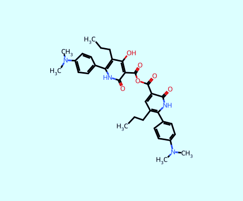 CCCc1cc(C(=O)OC(=O)c2c(O)c(CCC)c(-c3ccc(N(C)C)cc3)[nH]c2=O)c(=O)[nH]c1-c1ccc(N(C)C)cc1